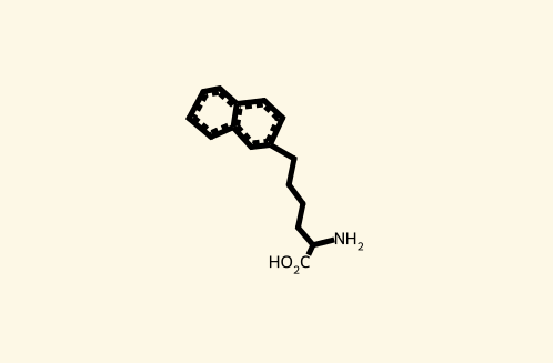 NC(CCCCc1ccc2ccccc2c1)C(=O)O